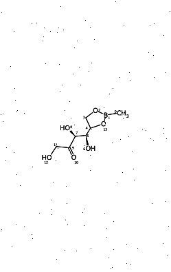 CB1OCC([C@@H](O)[C@H](O)C(=O)CO)O1